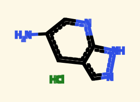 Cl.Nc1cnc2[nH]ncc2c1